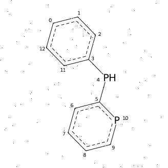 c1ccc(Pc2ccccp2)cc1